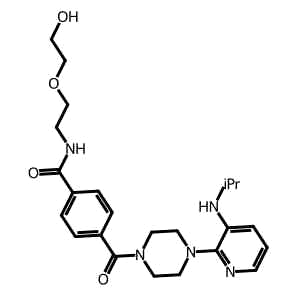 CC(C)Nc1cccnc1N1CCN(C(=O)c2ccc(C(=O)NCCOCCO)cc2)CC1